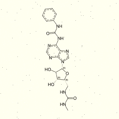 CNC(=O)NC[C@H]1O[C@@H](n2cnc3c(NC(=O)Nc4ccccc4)ncnc32)C(O)[C@H]1O